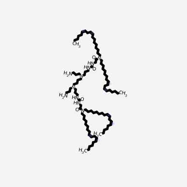 CCCCC/C=C\C/C=C\CCCCCCCCN(CCCCCCCC/C=C\C/C=C\CCCCC)C(=O)CNC(=O)NCCCN(CCCN)CCCCN(CCCN)CCCNC(=O)NCC(=O)N(CCCCCCCC/C=C\C/C=C\CCCCC)CCCCCCCC/C=C\C/C=C\CCCCC